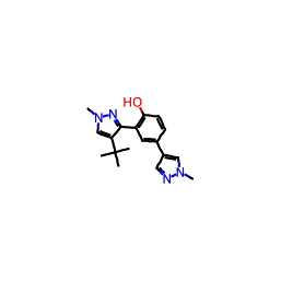 Cn1cc(-c2ccc(O)c(-c3nn(C)cc3C(C)(C)C)c2)cn1